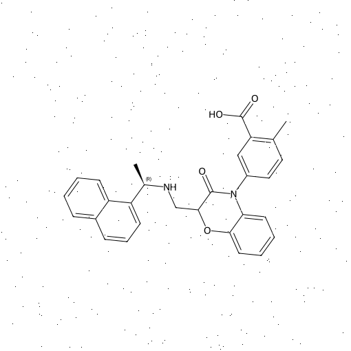 Cc1ccc(N2C(=O)C(CN[C@H](C)c3cccc4ccccc34)Oc3ccccc32)cc1C(=O)O